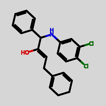 O/C(=C\CC1=CCCC=C1)C(Nc1ccc(Cl)c(Cl)c1)c1ccccc1